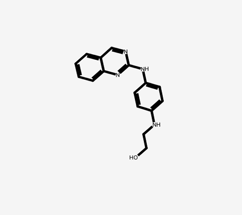 OCCNc1ccc(Nc2ncc3ccccc3n2)cc1